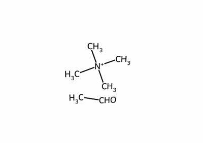 CC=O.C[N+](C)(C)C